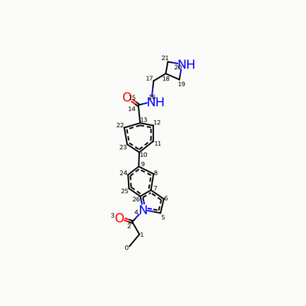 CCC(=O)n1ccc2cc(-c3ccc(C(=O)NCC4CNC4)cc3)ccc21